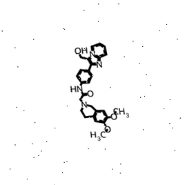 COc1cc2c(cc1OC)CN(CC(=O)Nc1ccc(-c3nc4ccccn4c3CO)cc1)CC2